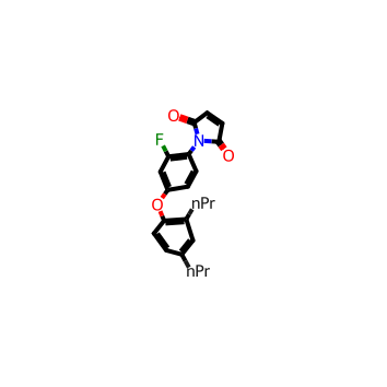 CCCc1ccc(Oc2ccc(N3C(=O)C=CC3=O)c(F)c2)c(CCC)c1